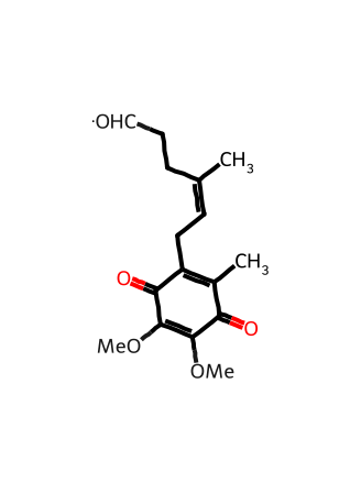 COC1=C(OC)C(=O)C(CC=C(C)CC[C]=O)=C(C)C1=O